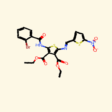 CCOC(=O)c1c(N=Cc2ccc([N+](=O)[O-])s2)sc(NC(=O)c2ccccc2Br)c1C(=O)OCC